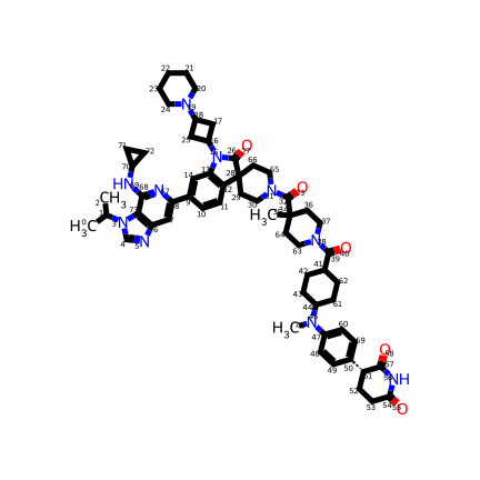 CC(C)n1cnc2cc(-c3ccc4c(c3)N(C3CC(N5CCCCC5)C3)C(=O)C43CCN(C(=O)C4(C)CCN(C(=O)C5CCC(N(C)c6ccc([C@H]7CCC(=O)NC7=O)cc6)CC5)CC4)CC3)nc(NC3CC3)c21